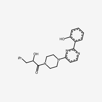 CC(C)CC(O)C(=O)N1CCN(c2ccnc(-c3ccccc3O)n2)CC1